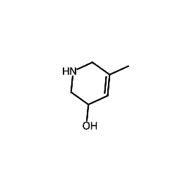 CC1=CC(O)CNC1